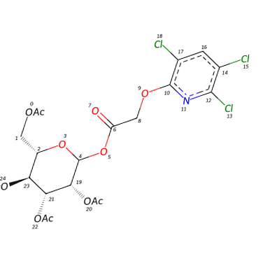 CC(=O)OC[C@@H]1OC(OC(=O)COc2nc(Cl)c(Cl)cc2Cl)[C@H](OC(C)=O)[C@H](OC(C)=O)[C@H]1OC(C)=O